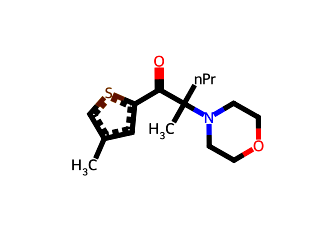 CCCC(C)(C(=O)c1cc(C)cs1)N1CCOCC1